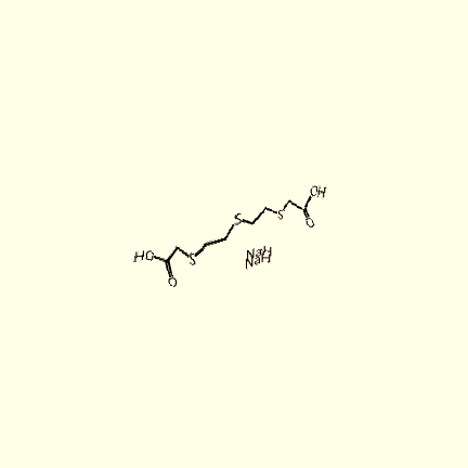 O=C(O)CSCCSCCSCC(=O)O.[NaH].[NaH]